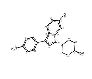 Nc1ccc(-c2cn([C@H]3CC[C@H](O)CC3)c3nc(Cl)ncc23)cc1